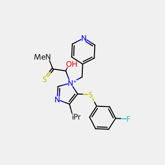 CNC(=S)C(O)[N+]1(Cc2ccncc2)C=NC(C(C)C)=C1Sc1cccc(F)c1